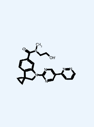 CN(CCO)C(=O)c1ccc2c(c1)N(c1ncc(-c3cccnn3)cn1)CC21CC1